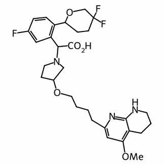 COc1cc(CCCCOC2CCN(C(C(=O)O)c3cc(F)ccc3C3CCC(F)(F)CO3)C2)nc2c1CCCN2